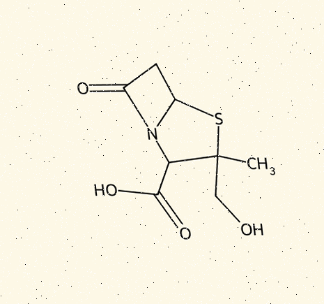 CC1(CO)SC2CC(=O)N2C1C(=O)O